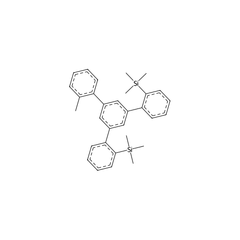 Cc1ccccc1-c1cc(-c2ccccc2[Si](C)(C)C)cc(-c2ccccc2[Si](C)(C)C)c1